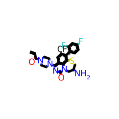 C=CC(=O)N1CCN(c2nc(=O)n3c4c(c(-c5ccc(F)cc5F)c(C(F)(F)F)cc24)SCC(N)C3)CC1